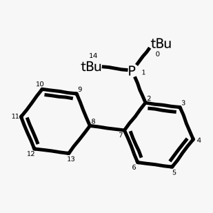 CC(C)(C)P(c1ccccc1C1C=CC=CC1)C(C)(C)C